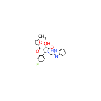 Cc1ccc(C(=O)C2=C(O)C(=O)N(Cc3nc4ccccc4[nH]3)C2c2ccc(F)cc2)o1